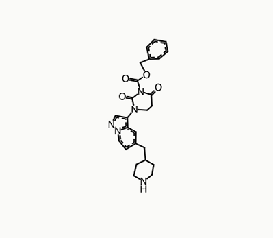 O=C1CCN(c2cnn3ccc(CC4CCNCC4)cc23)C(=O)N1C(=O)OCc1ccccc1